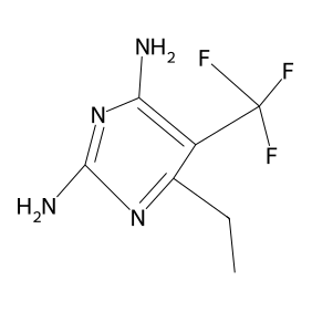 CCc1nc(N)nc(N)c1C(F)(F)F